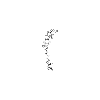 C=CC(=O)OCCCCCCOC(=O)C1CCC(C2CCC(C(=O)O)CC2)CC1